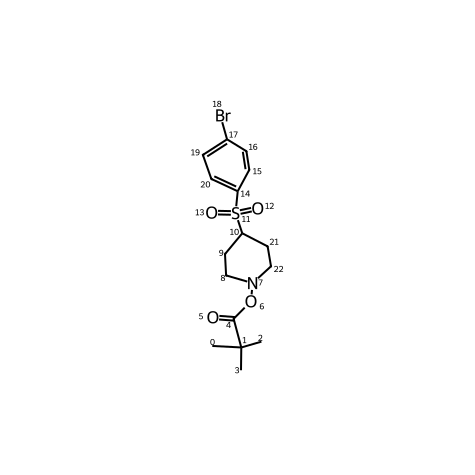 CC(C)(C)C(=O)ON1CCC(S(=O)(=O)c2ccc(Br)cc2)CC1